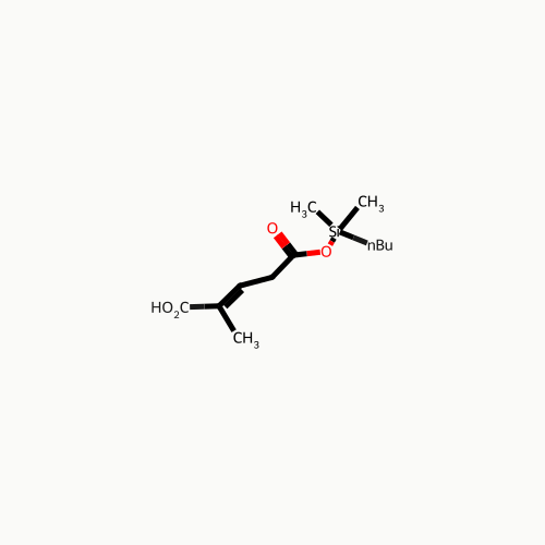 CCCC[Si](C)(C)OC(=O)CC=C(C)C(=O)O